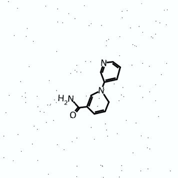 NC(=O)C1=CN(c2cccnc2)CC=C1